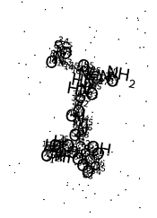 CCC(C)(CC)SC1CC(=O)N(CCCCCC(=O)N[C@H](C(=O)N[C@@H](CCCNC(N)=O)C(=O)Nc2ccc(COC(=O)N3CCCN(CC(=O)C4Cc5c(O)c6c(c(O)c5[C@@H](O[C@H]5C[C@H]7[C@H](O[C@@H]8COCCN87)[C@H](C)O5)C4)C(=O)c4c(OC)cccc4C6=O)CC3)cc2)C(C)C)C1=O